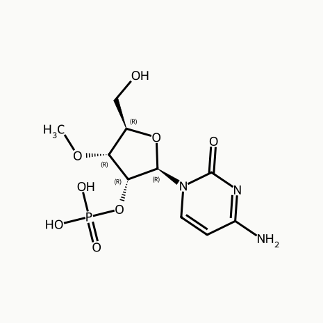 CO[C@H]1[C@@H](OP(=O)(O)O)[C@H](n2ccc(N)nc2=O)O[C@@H]1CO